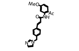 COc1ccc(C(C)=O)c(NC(=O)C=Cc2ccc(Cn3ccnc3)cc2)c1